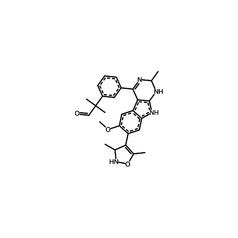 COc1cc2c3c([nH]c2cc1C1=C(C)ONC1C)NC(C)N=C3c1cccc(C(C)(C)C=O)c1